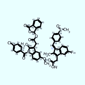 CC1=C(CC(=O)O)c2cc(F)ccc2/C1=C\c1ccc([S+](C)[O-])cc1.COc1ccc2c(c1)c(CC(=O)OC1OC(=O)c3ccccc31)c(C)n2C(=O)c1ccc(Cl)cc1